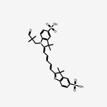 CC(C)(C=O)CN1/C(=C/C=C/C=C/C2=Nc3ccc(S(=O)(=O)O)cc3C2(C)C)C(C)(C)c2cc(S(=O)(=O)O)ccc21